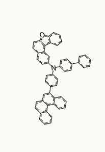 c1ccc(-c2ccc(N(c3ccc(-c4cc5ccc6ccccc6c5c5ccccc45)cc3)c3ccc4ccc5oc6ccccc6c5c4c3)cc2)cc1